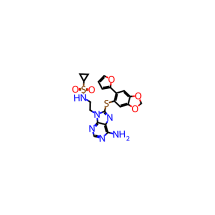 Nc1ncnc2c1nc(Sc1cc3c(cc1-c1ccco1)OCO3)n2CCNS(=O)(=O)C1CC1